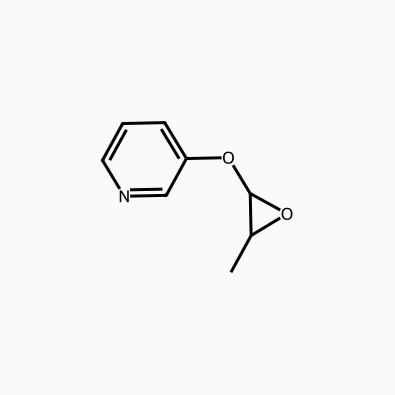 CC1OC1Oc1cccnc1